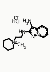 C[N+]1(CCNc2nn3ccccc3c2N)CCCCC1.Cl.[Cl-]